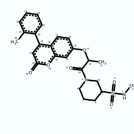 CNS(=O)(=O)C1CCCN(C(=O)C(C)Oc2ccc3c(-c4ccccc4C)cc(=O)oc3c2)C1